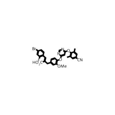 COc1cc(CC(=Cc2ccc(Br)cc2F)C(=O)O)ccc1Oc1cc(Oc2c(C)cc(C#N)cc2C)ncn1